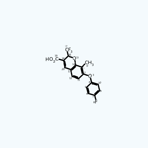 Cc1c(Oc2ccc(F)cc2)ccc2c1OC(C(F)(F)F)C(C(=O)O)=C2